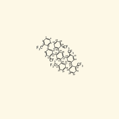 FC(F)(F)c1ccccc1-c1ccc(C(F)(F)F)c(-c2cc(-c3ccccc3C(F)(F)F)c(-c3cc(-c4ccccc4C(F)(F)F)ccc3C(F)(F)F)cc2-c2ccccc2C(F)(F)F)c1